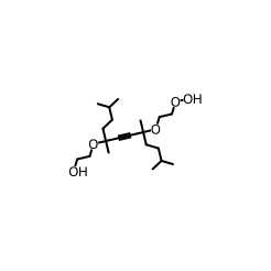 CC(C)CCC(C)(C#CC(C)(CCC(C)C)OCCOO)OCCO